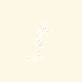 Cc1nc(Oc2ccc(C(=O)O)c(Cl)c2)ccc1CN1CCC(N2C(=O)OC[C@H]2c2ccccc2)CC1